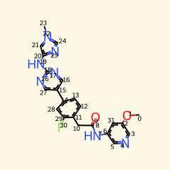 COc1cncc(NC(=O)Cc2ccc(-c3cnc(Nc4cn(C)cn4)nc3)cc2F)c1